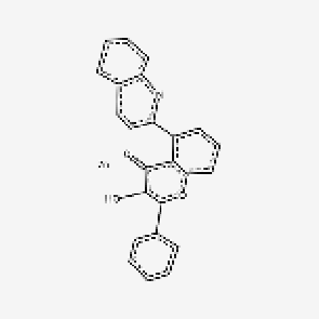 O=c1c(O)c(-c2ccccc2)oc2cccc(-c3ccc4ccccc4n3)c12.[Zn]